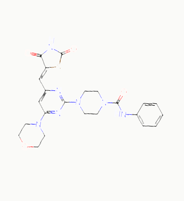 O=C1NC(=O)C(=Cc2cc(N3CCOCC3)nc(N3CCN(C(=O)Nc4ccccc4)CC3)n2)S1